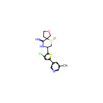 N#Cc1cncc(-c2cc(Cl)c(C3C[S+]([O-])C4(CCOC4)C(=N)N3)s2)c1